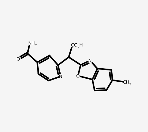 Cc1ccc2oc(C(C(=O)O)c3cc(C(N)=O)ccn3)nc2c1